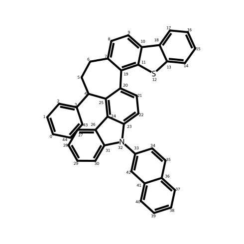 c1ccc(C2CCc3ccc4c(sc5ccccc54)c3-c3ccc4c(c32)c2ccccc2n4-c2ccc3ccccc3c2)cc1